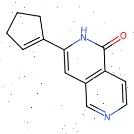 O=c1[nH]c(C2=CCCC2)cc2cnccc12